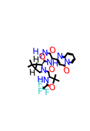 CC(C)(C)[C@H](NC(=O)C(F)(F)F)C(=O)N1C[C@H]2[C@@H]([C@H]1C(=O)NC(C(N)=O)c1cc(=O)n3ccccc3n1)C2(C)C